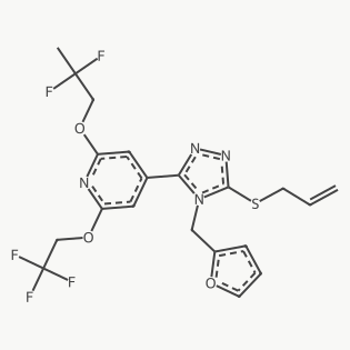 C=CCSc1nnc(-c2cc(OCC(C)(F)F)nc(OCC(F)(F)F)c2)n1Cc1ccco1